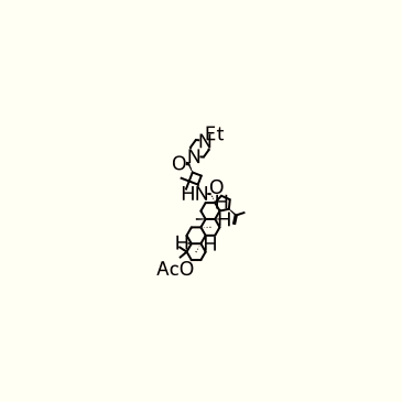 C=C(C)[C@@H]1CC[C@]2(C(=O)N[C@@H]3C[C@H](C(=O)N4CCN(CC)CC4)C3(C)C)CC[C@]3(C)[C@H](CC[C@@H]4[C@@]5(C)CC[C@H](OC(C)=O)C(C)(C)[C@@H]5CC[C@]43C)[C@@H]12